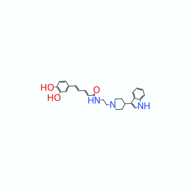 O=C(C=CC=Cc1ccc(O)c(O)c1)NCCN1CCC(c2c[nH]c3ccccc23)CC1